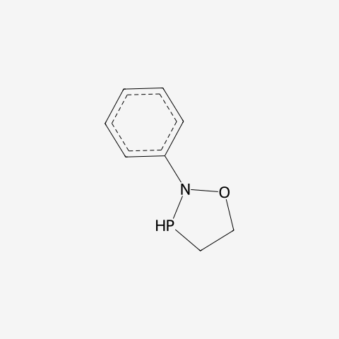 c1ccc(N2OCCP2)cc1